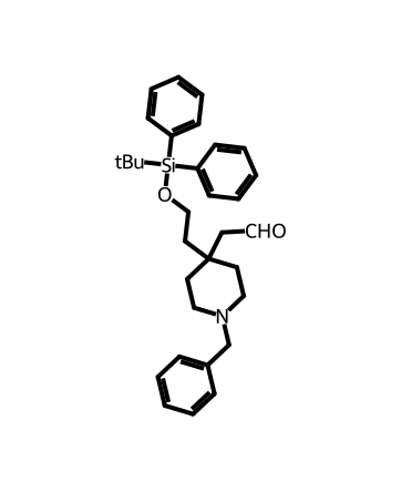 CC(C)(C)[Si](OCCC1(CC=O)CCN(Cc2ccccc2)CC1)(c1ccccc1)c1ccccc1